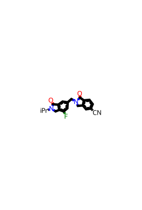 CC(C)N1Cc2c(F)cc(CN3Cc4cc(C#N)ccc4C3=O)cc2C1=O